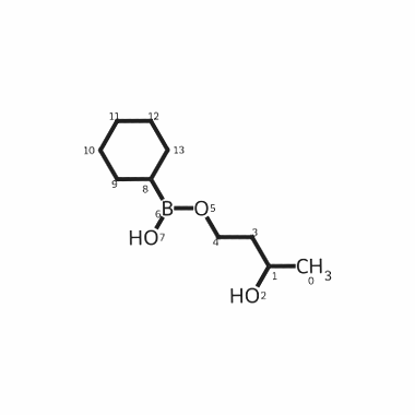 CC(O)CCOB(O)C1CCCCC1